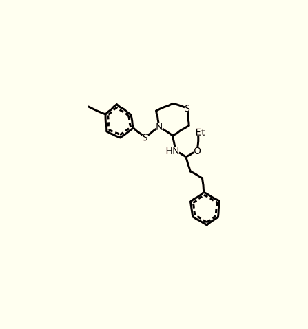 CCOC(CCc1ccccc1)NC1CSCCN1Sc1ccc(C)cc1